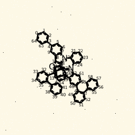 c1ccc(-c2ccc3c(c2)c2oc4ccccc4c2n3-c2ccccc2-n2c3ccc(-c4ccccc4-c4ccccc4)cc3c3cc(-c4ccccc4-c4ccccc4)ccc32)cc1